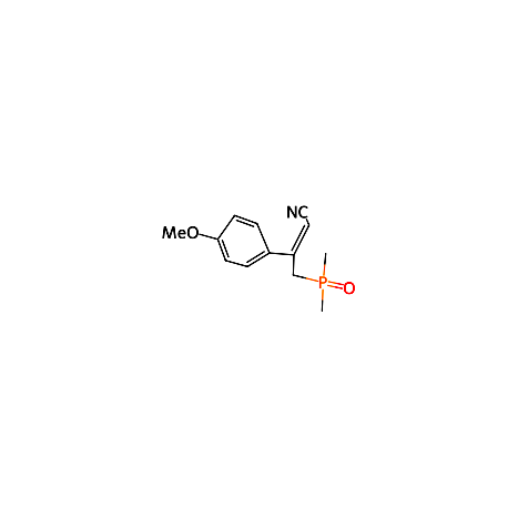 COc1ccc(/C(=C\C#N)CP(C)(C)=O)cc1